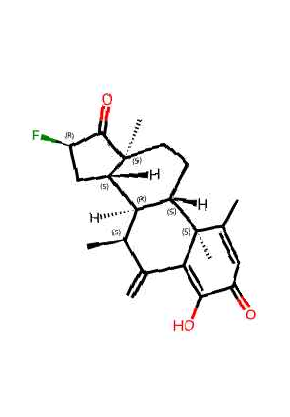 C=C1C2=C(O)C(=O)C=C(C)[C@]2(C)[C@H]2CC[C@]3(C)C(=O)[C@H](F)C[C@H]3[C@@H]2[C@@H]1C